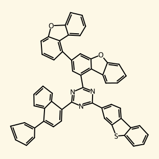 c1ccc(-c2ccc(-c3nc(-c4ccc5c(c4)sc4ccccc45)nc(-c4cc(-c5cccc6oc7ccccc7c56)cc5oc6ccccc6c45)n3)c3ccccc23)cc1